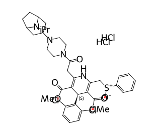 COC(=O)C1=C(CC(=O)N2CCN(C3CC4CCC(C3)N4C(C)C)CC2)NC(C[S+]([O-])c2ccccc2)=C(C(=O)OC)[C@H]1c1c(Cl)cccc1Cl.Cl.Cl